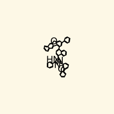 c1ccc(C2=NC(c3cccc4c3oc3ccccc34)=NC(c3ccc(-c4cc(-c5ccccc5)cc5oc6cc7ccccc7cc6c45)c4ccccc34)N2)cc1